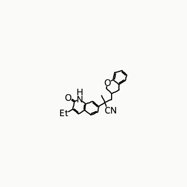 CCc1cc2ccc(C(C)(C#N)CC3COc4ccccc4C3)cc2[nH]c1=O